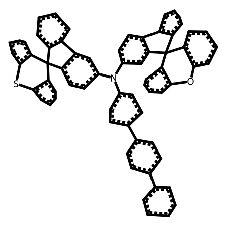 c1ccc(-c2ccc(-c3ccc(N(c4ccc5c(c4)-c4ccccc4C54c5ccccc5Sc5ccccc54)c4ccc5c(c4)C4(c6ccccc6Oc6ccccc64)c4ccccc4-5)cc3)cc2)cc1